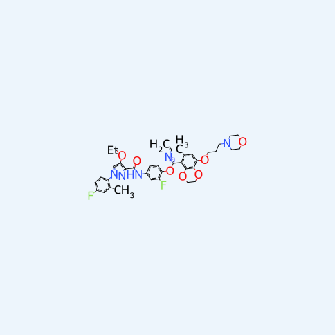 C=C/N=C(/Oc1ccc(NC(=O)c2nn(-c3ccc(F)cc3C)cc2OCC)cc1F)c1c(C)cc(OCCCN2CCOCC2)c2c1OCCO2